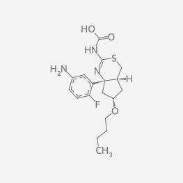 CCCCO[C@@H]1C[C@H]2CSC(NC(=O)O)=N[C@@]2(c2cc(N)ccc2F)C1